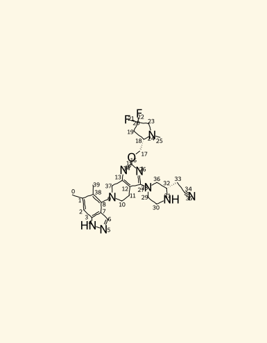 Cc1cc2[nH]ncc2c(N2CCc3c(nc(OC[C@@H]4CC(F)(F)CN4C)nc3N3CCN[C@@H](CC#N)C3)C2)c1C